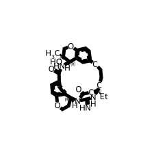 CC[C@]12CCCCc3ccc4c(c3)[C@@H](NC(=O)c3ccc5c(c3)[C@@H](CCO5)N(C(=N)N1)C(=O)C2)[C@](C)(O)CO4